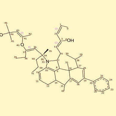 C/C=C\C(O)=C\CC1C2C3=C(C=CCC3C(C)C3=CC(c4ccccc4)=CC(C(C)C)C32C)N1[C@@](C)(/C=C(\CC)O/C(C)=C\C(C)(C)OC)CCC